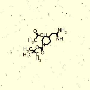 CC(=O)O.CC(C)(C)OC(=O)N1CCC(CC(=N)N)CC1